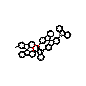 Cc1ccc2c(c1)C1(c3ccccc3-c3ccccc31)c1cc(C(=O)c3ccc4c(c3)C3(C5=C4C=CCC5)c4cc(-n5c6ccccc6c6ccccc65)ccc4-c4ccc(-n5c6ccccc6c6ccccc65)cc43)ccc1-2